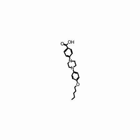 CCCCCOc1ccc(N2CCN(c3ccc(C(=O)O)cc3)CC2)cc1